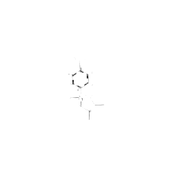 CCC[N+](C)(CCC)c1ccc([131I])cc1